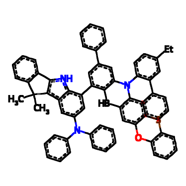 CCc1ccc(N2c3cc4c(cc3Bc3c(-c5cc(N(c6ccccc6)c6ccccc6)cc6c7c([nH]c56)-c5ccccc5C7(C)C)cc(-c5ccccc5)cc32)Oc2ccccc2S4)c(-c2ccccc2)c1